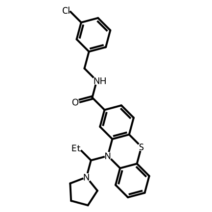 CCC(N1CCCC1)N1c2ccccc2Sc2ccc(C(=O)NCc3cccc(Cl)c3)cc21